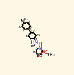 CCCc1ccc(-c2ccc(NC[C@@H](CC(C)C)NC(=O)OC(C)(C)C)cc2)cc1